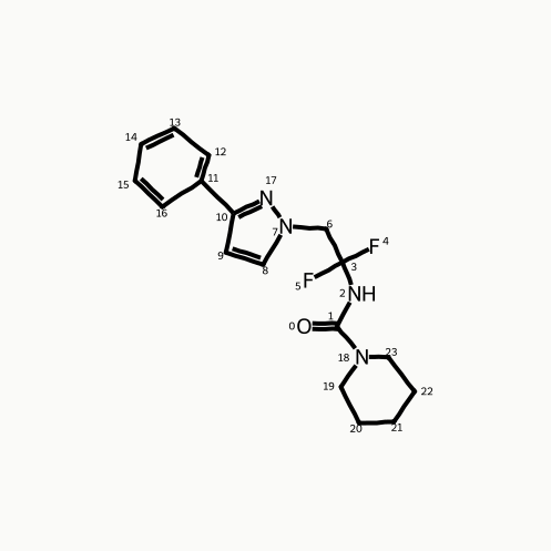 O=C(NC(F)(F)Cn1ccc(-c2ccccc2)n1)N1CCCCC1